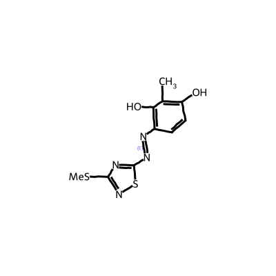 CSc1nsc(/N=N/c2ccc(O)c(C)c2O)n1